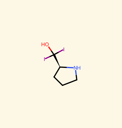 OC(I)(I)[C@@H]1CCCN1